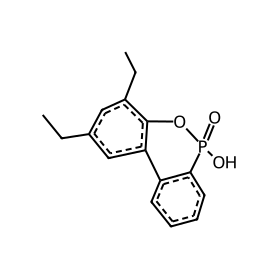 CCc1cc(CC)c2c(c1)-c1ccccc1P(=O)(O)O2